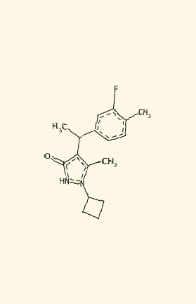 Cc1ccc(C(C)c2c(C)n(C3CCC3)[nH]c2=O)cc1F